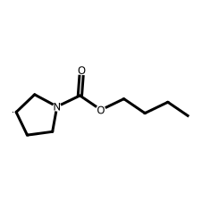 CCCCOC(=O)N1C[CH]CC1